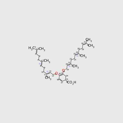 CC(C)=CCC/C(C)=C/CC/C(C)=C/COC1=C(OC/C=C(\C)CC/C=C(\C)CCC=C(C)C)CC(C(=O)O)C=C1